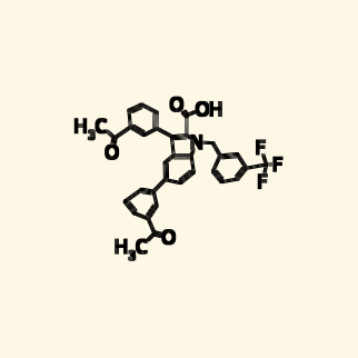 CC(=O)c1cccc(-c2ccc3c(c2)c(-c2cccc(C(C)=O)c2)c(C(=O)O)n3Cc2cccc(C(F)(F)F)c2)c1